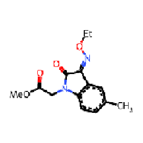 CCO/N=C1\C(=O)N(CC(=O)OC)c2ccc(C)cc21